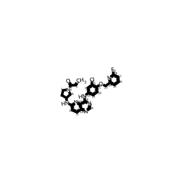 C=CC(=O)N1CCC(Nc2ccc3ncnc(Nc4ccc(OCc5cccc(F)n5)c(Cl)c4)c3n2)C1